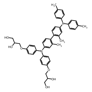 Cc1ccc(N(c2ccc(C)cc2)c2ccc(-c3ccc(N(c4ccc(OCC(O)CO)cc4)c4ccc(OCC(O)CO)cc4)cc3C)c(C)c2)cc1